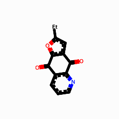 CCc1cc2c(o1)C(=O)c1cccnc1C2=O